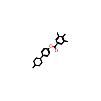 Cc1cc(C(=O)Oc2ccc(C3CCC(C)CC3)cc2)cc(C)c1C